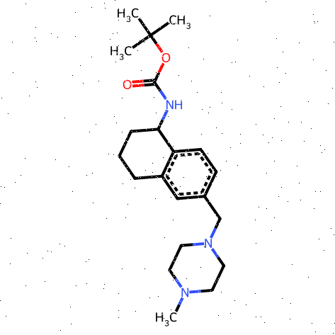 CN1CCN(Cc2ccc3c(c2)CCCC3NC(=O)OC(C)(C)C)CC1